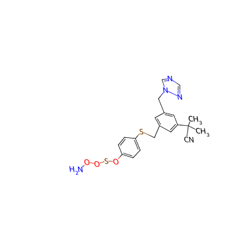 CC(C)(C#N)c1cc(CSc2ccc(OSOON)cc2)cc(Cn2cncn2)c1